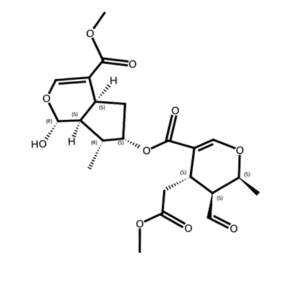 COC(=O)C[C@@H]1C(C(=O)O[C@H]2C[C@@H]3C(C(=O)OC)=CO[C@@H](O)[C@@H]3[C@H]2C)=CO[C@@H](C)[C@H]1C=O